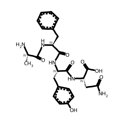 C[C@H](N)C(=O)N[C@@H](Cc1ccccc1)C(=O)N[C@@H](Cc1ccc(O)cc1)C(=O)N[C@@H](CC(N)=O)C(=O)O